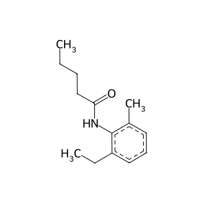 CCCCC(=O)Nc1c(C)cccc1CC